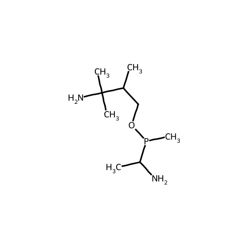 CC(N)P(C)OCC(C)C(C)(C)N